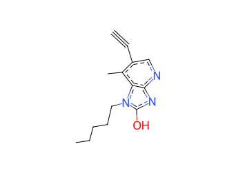 C#Cc1cnc2nc(O)n(CCCCC)c2c1C